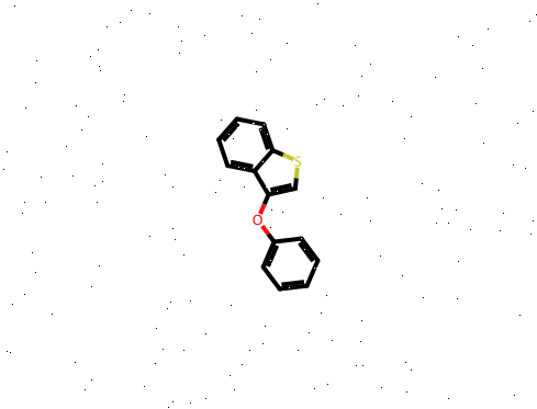 c1ccc(Oc2csc3ccccc23)cc1